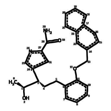 C[C@H](O)[C@@H](CCc1ccccc1OCc1ccc2ccccc2c1)n1cnc(C(N)=O)c1